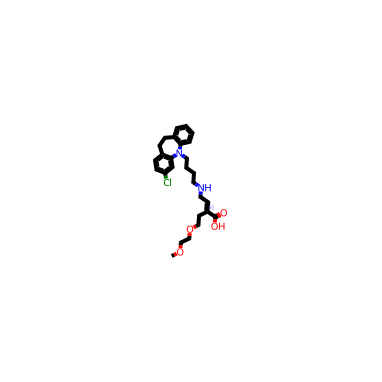 COCCOCC/C(=C\CNCCCCN1c2ccccc2CCc2ccc(Cl)cc21)C(=O)O